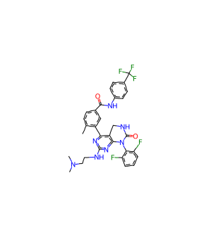 Cc1ccc(C(=O)Nc2ccc(C(F)(F)F)cc2)cc1-c1nc(NCCN(C)C)nc2c1CNC(=O)N2c1c(F)cccc1F